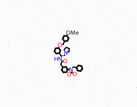 COc1ccc(COc2cccc([C@@H](CN3CCCC3)NC(=O)Cc3ccc4oc(=O)n(Cc5ccccc5)c4c3)c2)cc1